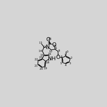 Cc1ccccc1OCC1CN(C(C)Cc2c[nH]c3ccccc23)C(=O)O1